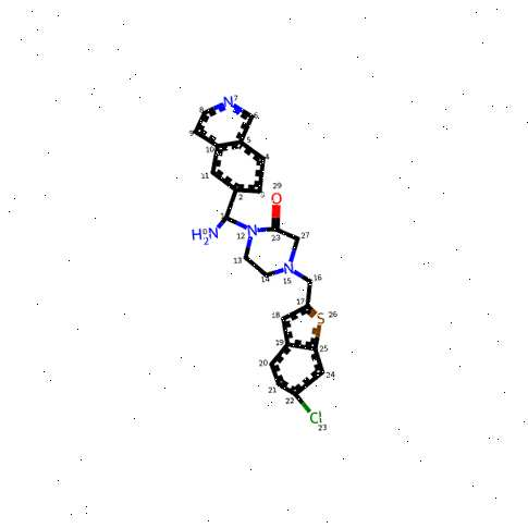 NC(c1ccc2cnccc2c1)N1CCN(Cc2cc3ccc(Cl)cc3s2)CC1=O